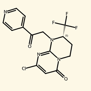 O=C(CN1c2nc(Cl)cc(=O)n2CC[C@H]1C(F)(F)F)c1ccncc1